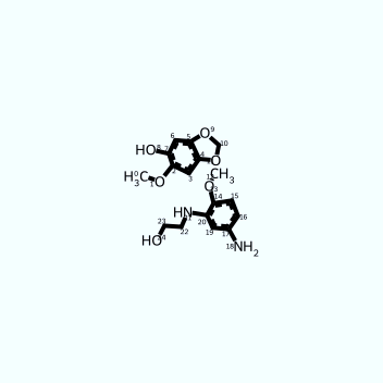 COc1cc2c(cc1O)OCO2.COc1ccc(N)cc1NCCO